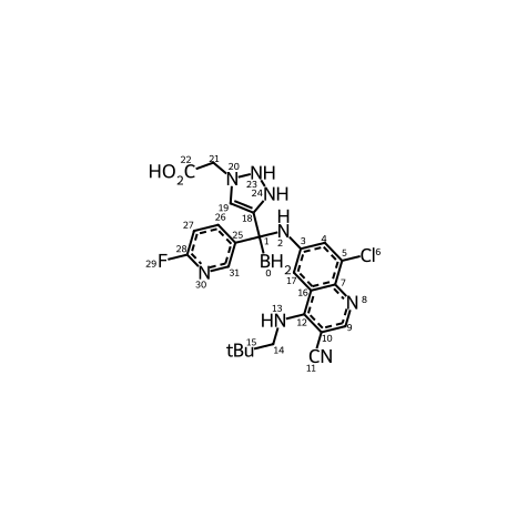 BC(Nc1cc(Cl)c2ncc(C#N)c(NCC(C)(C)C)c2c1)(C1=CN(CC(=O)O)NN1)c1ccc(F)nc1